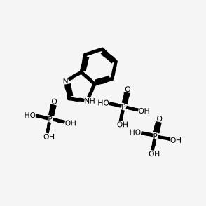 O=P(O)(O)O.O=P(O)(O)O.O=P(O)(O)O.c1ccc2[nH]cnc2c1